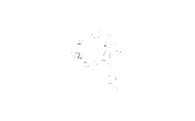 COC(=O)[C@@]1(O)CC(=O)N(C)CC[C@@H]2CCO[C@@H](C2)[C@@H]2CC[C@H]2CN2CCCCc3cc(Cl)ccc3COc3ccc1cc32